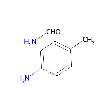 Cc1ccc(N)cc1.NC=O